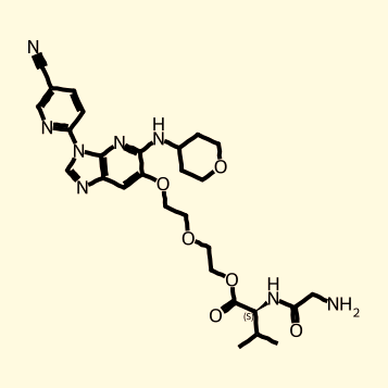 CC(C)[C@H](NC(=O)CN)C(=O)OCCOCCOc1cc2ncn(-c3ccc(C#N)cn3)c2nc1NC1CCOCC1